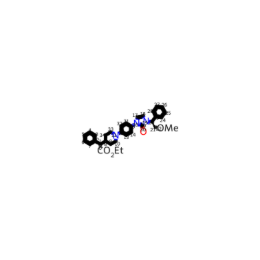 CCOC(=O)C(c1ccccc1)C1CCN(c2ccc(-n3ccn([C@H](COC)c4ccccc4)c3=O)cc2)CC1